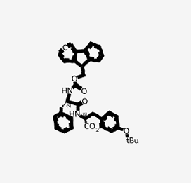 CC(C)(C)Oc1ccc(C[C@H](NC(=O)[C@H](Cc2ccccc2)NC(=O)OCC2c3ccccc3-c3ccccc32)C(=O)O)cc1